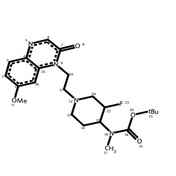 COc1ccc2ncc(=O)n(CCN3CCC(N(C)C(=O)OC(C)(C)C)C(F)C3)c2c1